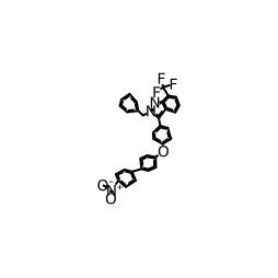 O=[N+]([O-])c1ccc(-c2ccc(Oc3ccc(-c4c5cccc(C(F)(F)F)c5nn4Cc4ccccc4)cc3)cc2)cc1